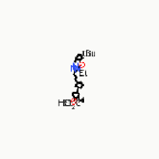 CCOc1ccc(-c2cccc(CCCc3nn(Cc4ccc(C(C)(C)C)cc4)c(=O)n3CC)c2)cc1C1(C(=O)O)CC1